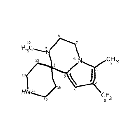 Cc1c(C(F)(F)F)cc2n1CCN(C)C21CCNCC1